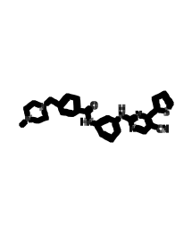 CN1CCN(Cc2ccc(C(=O)Nc3cccc(Nc4ncc(C#N)c(-c5cccs5)n4)c3)cc2)CC1